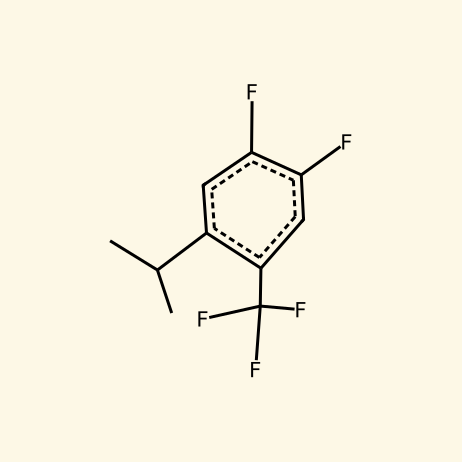 CC(C)c1cc(F)c(F)cc1C(F)(F)F